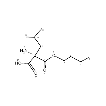 CCCCOC(=O)[C@](N)(CC(C)C)C(=O)O